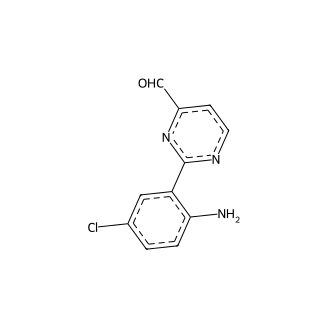 Nc1ccc(Cl)cc1-c1nccc(C=O)n1